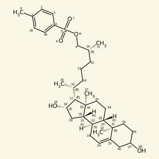 Cc1ccc(S(=O)(=O)OC[C@H](C)CCC[C@@H](C)[C@H]2[C@@H](O)C[C@H]3[C@@H]4CC=C5CC(O)CC[C@]5(C)[C@H]4CC[C@]23C)cc1